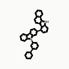 c1ccc(-c2cccc(-n3c4ccccc4c4ccc(-c5cccc6[nH]c7c8ccccc8ccc7c56)cc43)c2)cc1